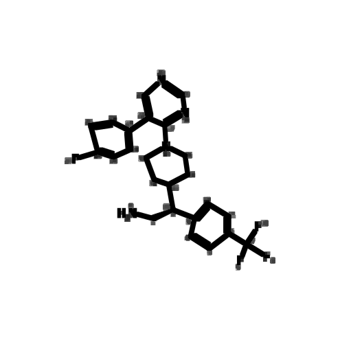 NC[C@H](c1ccc(C(F)(F)F)cc1)C1CCN(c2ncncc2-c2ccc(F)cc2)CC1